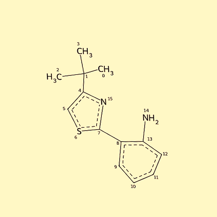 CC(C)(C)c1csc(-c2ccccc2N)n1